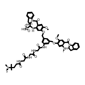 COc1cc(C(=O)N2CCc3ccccc32)c(NI)cc1OCc1cc(COc2cc3c(cc2OC)C(=O)N2c4ccccc4C[C@H]2C(S(=O)(=O)O)N3)cc(NC(=O)CNC(=O)CNC(=O)CNC(=O)CCC(C)(C)S(C)=S)c1